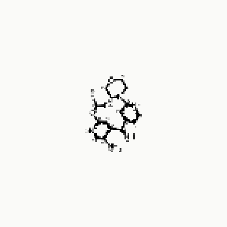 N=C(c1ccnc(N2CCOCC2)c1)c1cc(OC(F)F)ncc1N